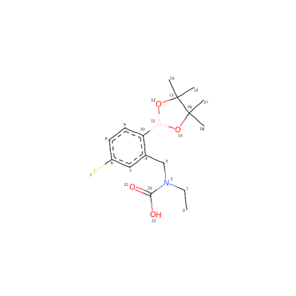 CCN(Cc1cc(F)ccc1B1OC(C)(C)C(C)(C)O1)C(=O)O